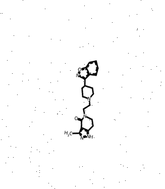 Cc1n[nH]c2c1C(=O)N(CCN1CCC(c3noc4ccccc34)CC1)CC2